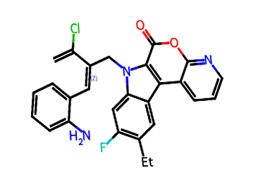 C=C(Cl)/C(=C\c1ccccc1N)Cn1c2cc(F)c(CC)cc2c2c3cccnc3oc(=O)c21